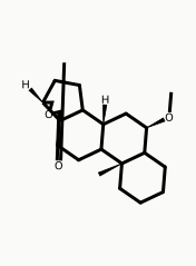 CO[C@@H]1C[C@@H]2C(CC[C@]34C(=O)OC[C@H]3CCC24)[C@@]2(C)CCCCC12